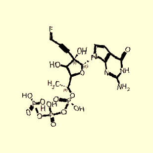 C[C@@H](OP(=O)(O)OP(=O)(O)OP(=O)(O)O)C1O[C@@H](n2ccc3c(=O)[nH]c(N)nc32)[C@@](O)(C#CCF)C1O